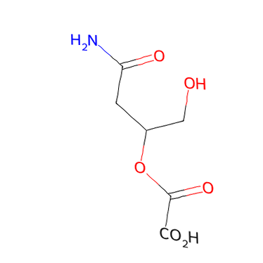 NC(=O)CC(CO)OC(=O)C(=O)O